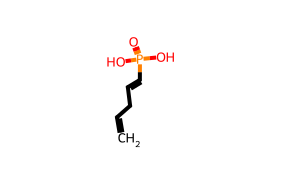 C=CCC=CP(=O)(O)O